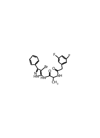 CC(NC(=O)Cc1cc(F)cc(F)c1)C(=O)Nc1[nH]nc(-c2ccccc2)c1Br